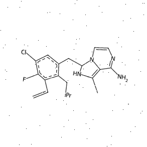 C=Cc1c(F)c(Cl)cc(CC2NC(C)=C3C(N)=NC=CN32)c1CC(C)C